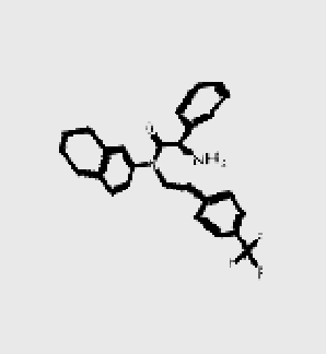 NC(C(=O)N(CCc1ccc(C(F)(F)F)cc1)c1ccc2c(c1)CCCC2)c1ccccc1